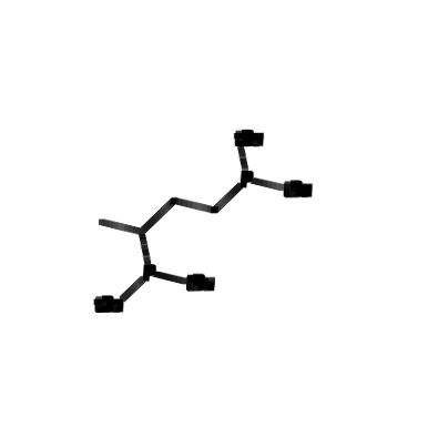 CC(CCP(C(C)(C)C)C(C)(C)C)P(C(C)(C)C)C(C)(C)C